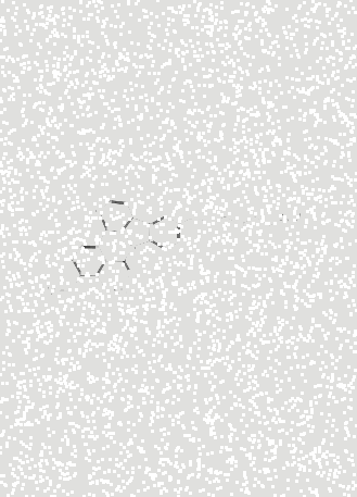 CNCCOCCOc1ccc2c(c1)c1ccnc3c4ccc(OC)c(OC)c4c(=O)n2c13